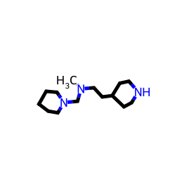 CN(CCC1CCNCC1)CN1CCCCC1